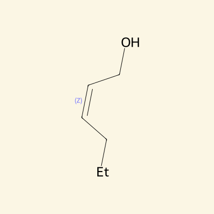 CCC/C=C\CO